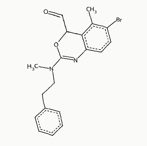 Cc1c(Br)ccc2c1C(C=O)OC(N(C)CCc1ccccc1)=N2